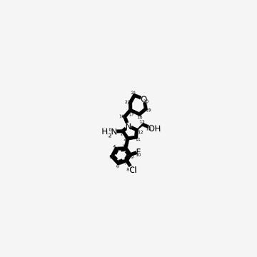 NC1C(c2cccc(Cl)c2F)C[C@H](CO)N1CC1CCOCC1